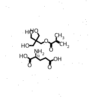 C=C(C)C(=O)OCC(CO)(CO)CO.N[C@@H](CCC(=O)O)C(=O)O